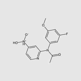 COc1cc(F)cc(N(C(C)=O)c2cc([NH+]([O-])O)ccn2)c1